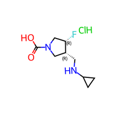 Cl.O=C(O)N1C[C@@H](CNC2CC2)[C@@H](F)C1